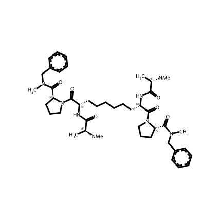 CN[C@@H](C)C(=O)N[C@@H](CCCCCC[C@H](NC(=O)[C@H](C)NC)C(=O)N1CCC[C@H]1C(=O)N(C)Cc1ccccc1)C(=O)N1CCC[C@H]1C(=O)N(C)Cc1ccccc1